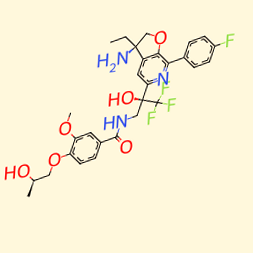 CC[C@]1(N)COc2c1cc([C@@](O)(CNC(=O)c1ccc(OC[C@@H](C)O)c(OC)c1)C(F)(F)F)nc2-c1ccc(F)cc1